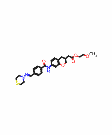 COCCOC(=O)CC1COc2cc(NC(=O)c3ccc(C=NN4CCSCC4)cc3)ccc2C1